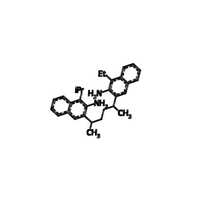 CCc1c(N)c(C(C)CCC(C)c2cc3ccccc3c(C(C)C)c2N)cc2ccccc12